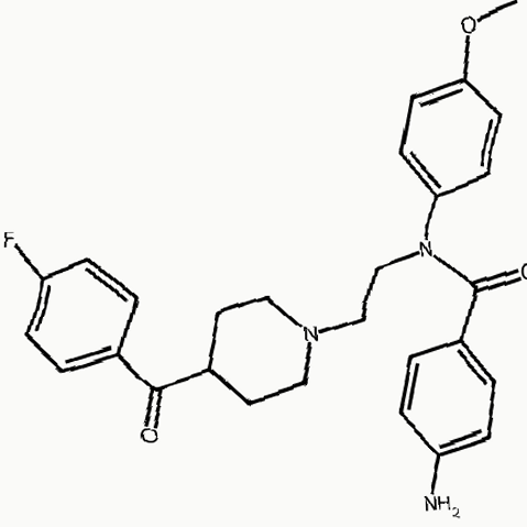 COc1ccc(N(CCN2CCC(C(=O)c3ccc(F)cc3)CC2)C(=O)c2ccc(N)cc2)cc1